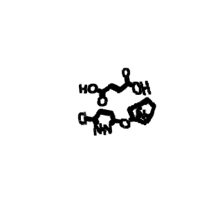 CN1C2CCC1CC(Oc1ccc(Cl)nn1)C2.O=C(O)/C=C/C(=O)O